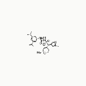 CC(C)c1cc(NC(=O)NS(=O)(=O)N(c2cnn(C)c2)C2CCOCC2)cc(C(C)C)c1.[Na]